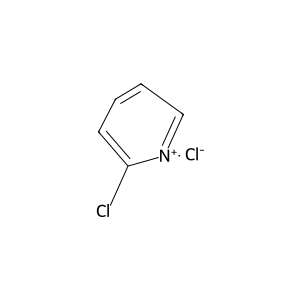 ClC1=CC=CC=[N+]1.[Cl-]